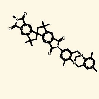 Cc1cc(C)c2c(c1)CN1CN2Cc2cc(N3C(=O)c4cc5c(cc4C3=O)C3(CC(C)(C)c4cc6c(cc43)C(=O)N(C)C6=O)CC5(C)C)cc(C)c21